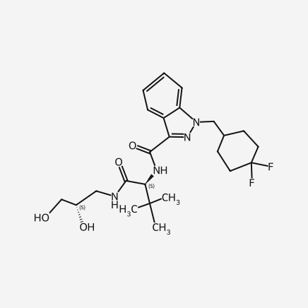 CC(C)(C)[C@H](NC(=O)c1nn(CC2CCC(F)(F)CC2)c2ccccc12)C(=O)NC[C@H](O)CO